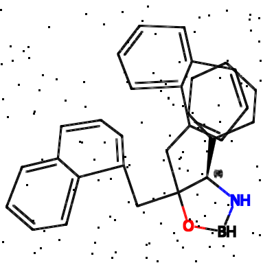 B1N[C@H](C2CCCCC2)C(Cc2cccc3ccccc23)(Cc2cccc3ccccc23)O1